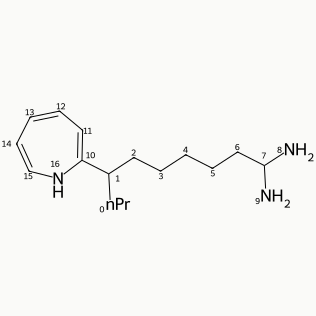 CCCC(CCCCCC(N)N)C1=CC=CC=CN1